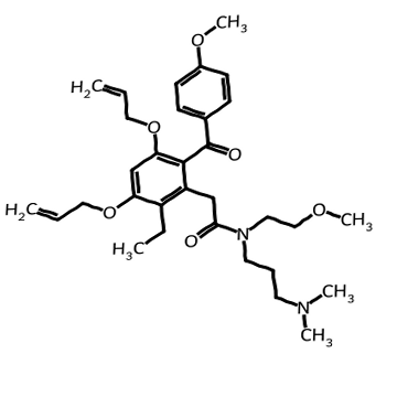 C=CCOc1cc(OCC=C)c(C(=O)c2ccc(OC)cc2)c(CC(=O)N(CCCN(C)C)CCOC)c1CC